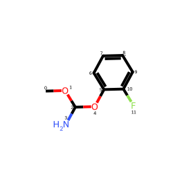 COC(N)Oc1cc[c]cc1F